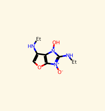 CCNc1coc2c1n(O)c(NCC)[n+]2[O-]